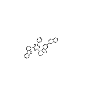 C1=CC2c3ccccc3OC2C(c2nc(C3=CCCc4oc5cc(-c6ccc7ccccc7c6)ccc5c43)nc(-c3ccccc3)n2)=C1